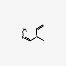 C=CN(C)/C=N\N